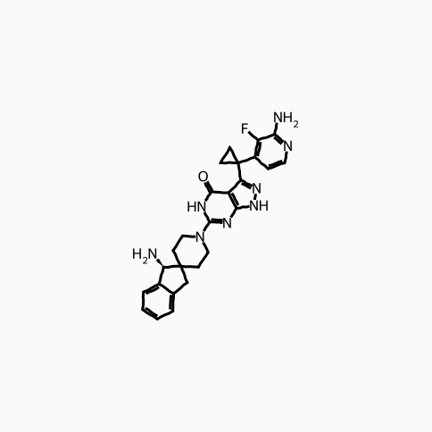 Nc1nccc(C2(c3n[nH]c4nc(N5CCC6(CC5)Cc5ccccc5[C@H]6N)[nH]c(=O)c34)CC2)c1F